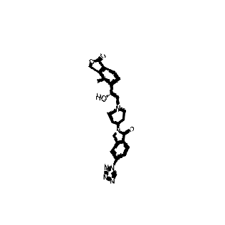 Cc1c([C@@H](O)CN2CCC(N3Cc4cc(-n5cnnn5)ccc4C3=O)CC2)ccc2c1COC2=O